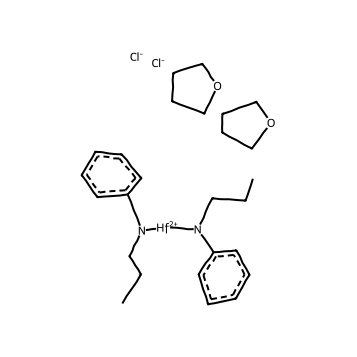 C1CCOC1.C1CCOC1.CCC[N]([Hf+2][N](CCC)c1ccccc1)c1ccccc1.[Cl-].[Cl-]